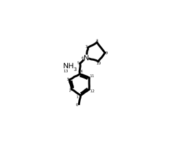 Cc1ccc(CN2CCCC2)cc1.N